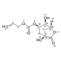 C=CCOC(=O)O[C@@H]1C[C@]2(O)C[C@@H](OC2=O)[C@@H]1O